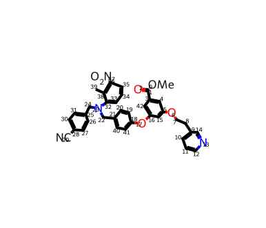 COC(=O)c1cc(OCCc2cccnc2)cc(Oc2ccc(CN(Cc3ccc(C#N)cc3)c3cccc([N+](=O)[O-])c3C)cc2)c1